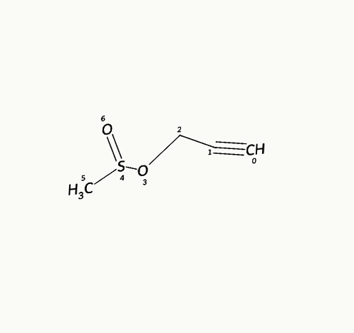 C#CCOS(C)=O